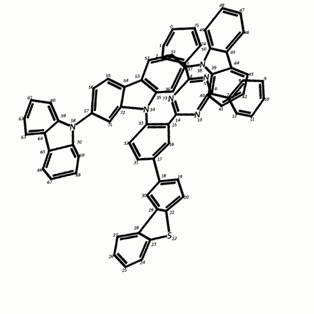 c1ccc(-c2nc(-c3ccccc3)nc(-c3cc(-c4ccc5sc6ccccc6c5c4)ccc3-n3c4cc(-n5c6ccccc6c6ccccc65)ccc4c4ccc(-n5c6ccccc6c6ccccc65)cc43)n2)cc1